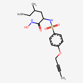 CC#CCOc1ccc(S(=O)(=O)NC(CC(C)CNC(C)=O)C(=O)NO)cc1